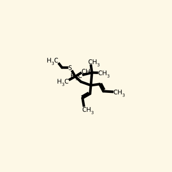 CC=CC(C=CC)(CC(C)(C)SCC)C(C)(C)C